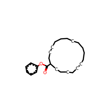 O=C(Oc1ccccc1)C1CCCCCCCCCCCCCCCCC1